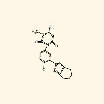 Cn1c(C(F)(F)F)cc(=O)n(-c2ccc(Cl)c(-c3nc4c(s3)CCCC4)c2)c1=O